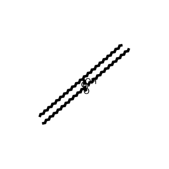 CCCCCCCCCCCCCCCCCCCCCCC(CCCCCCCCCCCCCCCCCCCC)C(=O)O.CCCCCCCCCCCCCCCCCCCCCCOC(=O)CCCCCCCCCCCCCCCCCCCCC